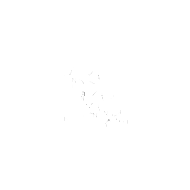 CCSc1nc(N2C[C@H]3C[C@@H]2CN3C)c2c3c(c(-c4ccc(F)c5sc(NC(=O)O)c(C#N)c45)c(F)c2n1)COC3